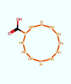 O=C(O)P1PPPPPPPPPPP1